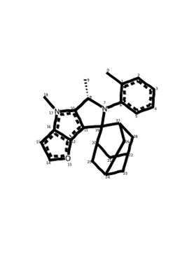 Cc1ccccc1N1[C@@H](C)c2c(c3occc3n2C)C12C1CC3CC(C1)CC2C3